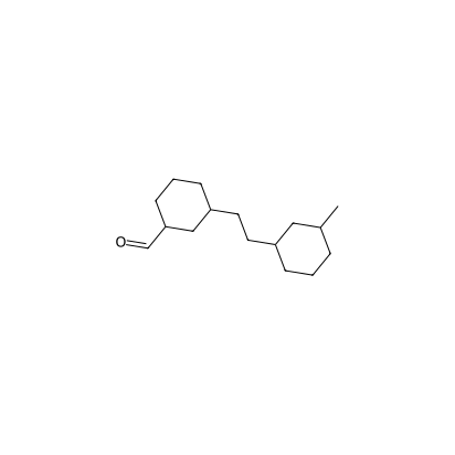 CC1CCCC(CCC2CCCC(C=O)C2)C1